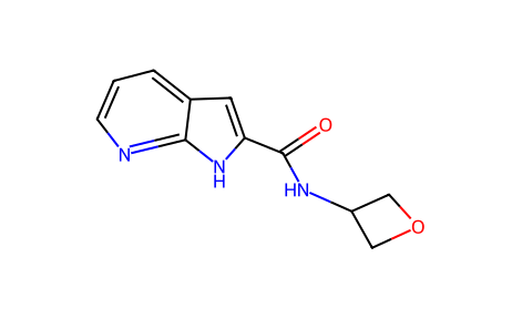 O=C(NC1COC1)c1cc2cccnc2[nH]1